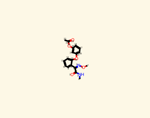 CNC(=O)C(=NOC)c1ccccc1Oc1cccc(OC(C)=O)c1